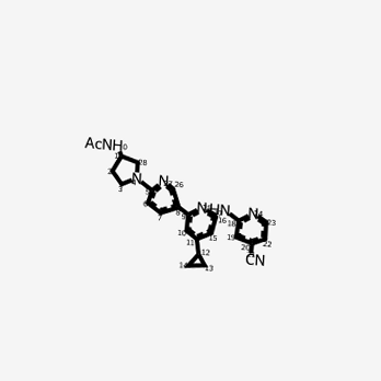 CC(=O)NC1CCN(c2ccc(-c3cc(C4CC4)cc(Nc4cc(C#N)ccn4)n3)cn2)C1